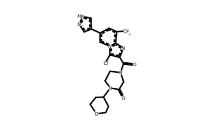 O=C(c1nc2c(C(F)(F)F)cc(-c3cn[nH]c3)cn2c1Cl)N1CCN(C2CCOCC2)C(=O)C1